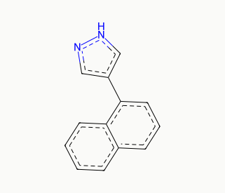 c1ccc2c(-c3cn[nH]c3)cccc2c1